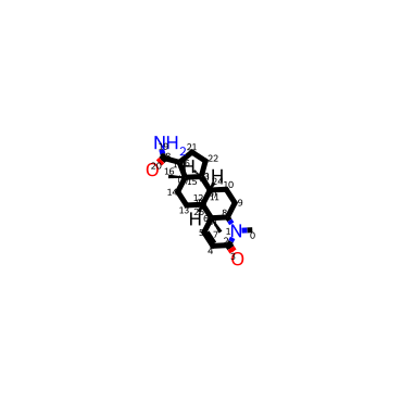 CN1C(=O)C=C[C@@]2(C)C1CC[C@@H]1[C@H]2CC[C@]2(C)C(C(N)=O)CC[C@@H]12